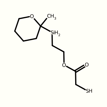 CC1([SiH2]CCOC(=O)CS)CCCCO1